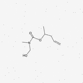 C=CCC(C)OC(=O)N(C)CO